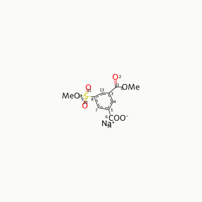 COC(=O)c1cc(C(=O)[O-])cc(S(=O)(=O)OC)c1.[Na+]